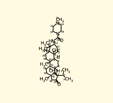 CC(C)C1=C2[C@H]3CC[C@@H]4[C@@]5(C)CCC(NC(=O)N6CCN(C)CC6)C(C)(C)[C@@H]5CC[C@@]4(C)[C@]3(C)CC[C@@]2(C)CC1=O